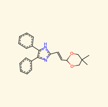 CC1(C)COC(/C=C/c2nc(-c3ccccc3)c(-c3ccccc3)[nH]2)OC1